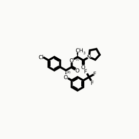 C[C@H](OC(=O)[C@H](Oc1cccc(C(F)(F)F)c1)c1ccc(Cl)cc1)C(=O)N1CCCC1